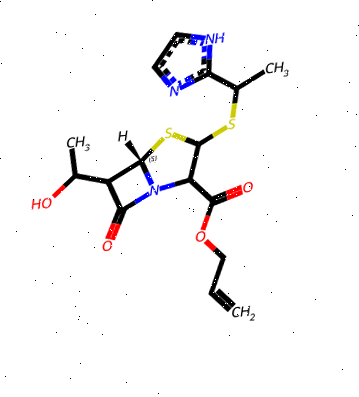 C=CCOC(=O)C1C(SC(C)c2ncc[nH]2)S[C@H]2C(C(C)O)C(=O)N12